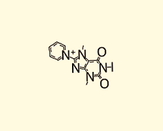 Cn1c(-[n+]2ccccc2)nc2c1c(=O)n(I)c(=O)n2C